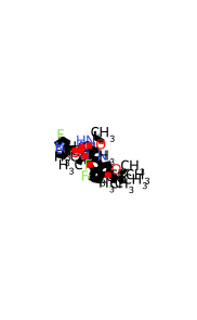 CC(C)[Si](C#Cc1c(F)ccc2cc(O[Si](C(C)C)(C(C)C)C(C)C)cc(-c3nc4c5c(nc(OC[C@@]67CCCN6C[C@H](F)C7)nc5c3F)N[C@@H](C)CO4)c12)(C(C)C)C(C)C